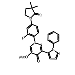 COc1cn(-c2ccc(N3CCC(C)(C)C3=O)cc2F)nc(-c2ccnn2-c2ccccc2)c1=O